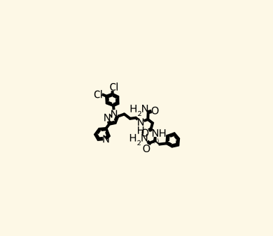 NC(=O)C(CC(=O)N[C@@H](Cc1ccccc1)C(N)=O)NCCCc1cc(-c2cccnc2)nn1-c1ccc(Cl)c(Cl)c1